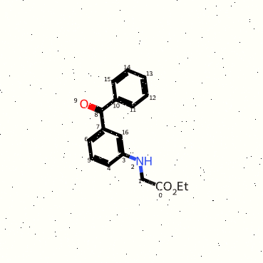 CCOC(=O)CNc1cccc(C(=O)c2ccccc2)c1